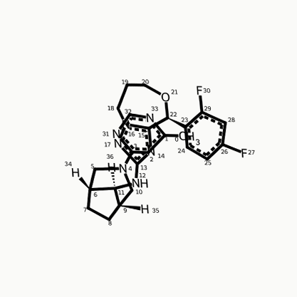 Cc1cc(N2C[C@H]3CC[C@@H](C2)[C@@H]3Nc2nc3n(n2)CCCO[C@H]3c2ccc(F)cc2F)ncn1